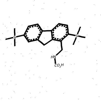 C[Si](C)(C)c1ccc2c(c1)Cc1c-2ccc([Si](C)(C)C)c1CNC(=O)O